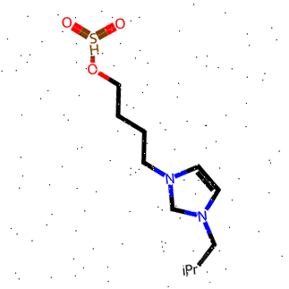 CC(C)CN1C=CN(CCCCO[SH](=O)=O)C1